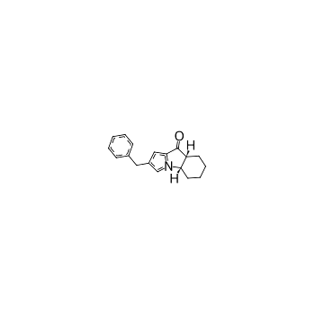 O=C1c2cc(Cc3ccccc3)cn2[C@H]2CCCC[C@@H]12